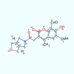 COc1cc2c(C)c(CC(=O)N3C[C@H]4COC[C@H]4C3)c(=O)oc2c(C=O)c1O